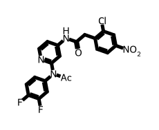 CC(=O)N(c1ccc(F)c(F)c1)c1cc(NC(=O)Cc2ccc([N+](=O)[O-])cc2Cl)ccn1